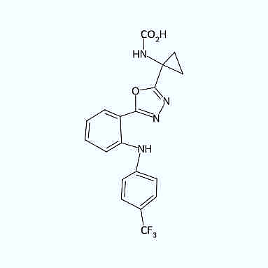 O=C(O)NC1(c2nnc(-c3ccccc3Nc3ccc(C(F)(F)F)cc3)o2)CC1